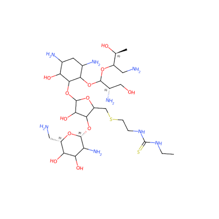 CCNC(=S)NCCSCC1OC(OC2C(O)C(N)CC(N)C2OC(OC(CN)[C@H](C)O)[C@@H](N)CO)C(O)C1O[C@H]1O[C@@H](CN)C(O)C(O)C1N